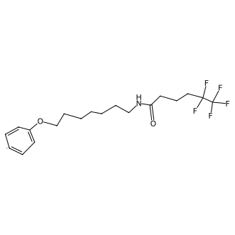 O=C(CCCC(F)(F)C(F)(F)F)NCCCCCCCOc1cc[c]cc1